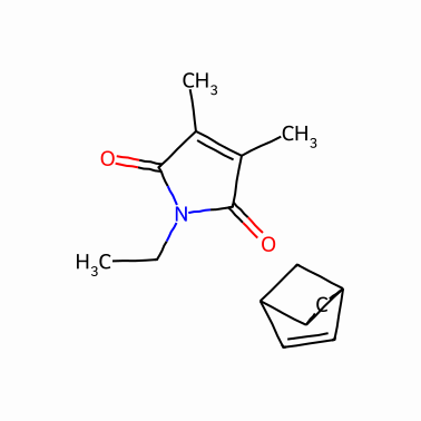 C1=CC23CC1C2C3.CCN1C(=O)C(C)=C(C)C1=O